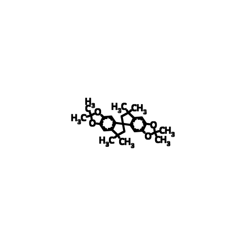 CC1(C)Oc2cc3c(cc2O1)C1(CC3(C)C)CC(C)(C)c2cc3c(cc21)OC(C)(C)O3